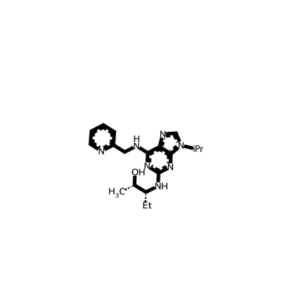 CC[C@@H](Nc1nc(NCc2ccccn2)c2ncn(C(C)C)c2n1)[C@H](C)O